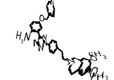 COc1cc2c(cc1OC)CN(CCc1ccc(-n3nnc(-c4cc(OCc5ccncc5)ccc4N)n3)cc1)CC2